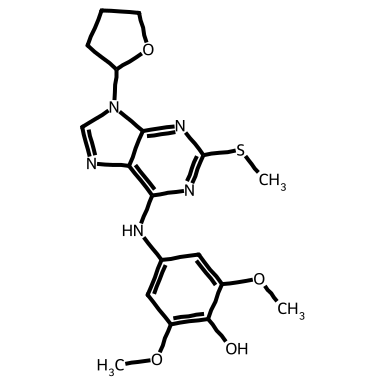 COc1cc(Nc2nc(SC)nc3c2ncn3C2CCCO2)cc(OC)c1O